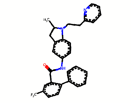 CC1Cc2cc(NC(=O)c3cc(C(F)(F)F)ccc3-c3ccccc3)ccc2N1CCc1ccccn1